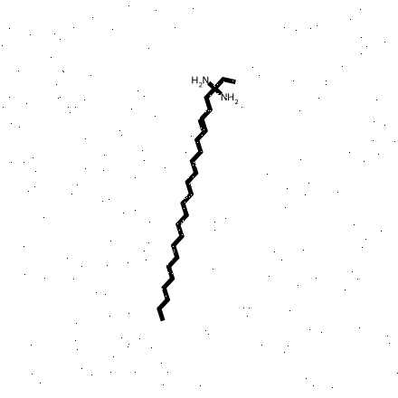 CCCCCCCCCCCCCCCCCCC=CCCC(N)(N)CC